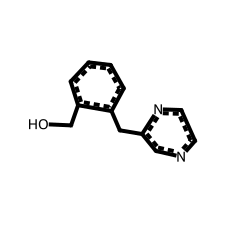 OCc1ccccc1Cc1cnccn1